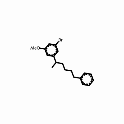 COc1cc(Br)cc(C(C)CCCCc2ccccc2)c1